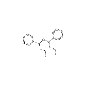 C=CCC(OC(CC=C)c1ccccc1)c1ccccc1